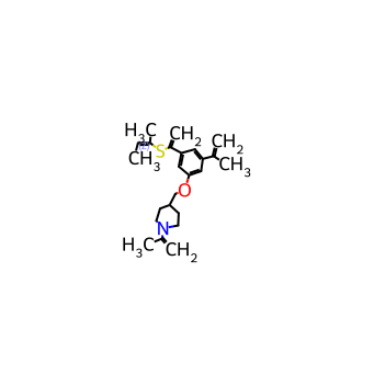 C=C(C)c1cc(OCC2CCN(C(=C)C)CC2)cc(C(=C)S/C(C)=C\C)c1